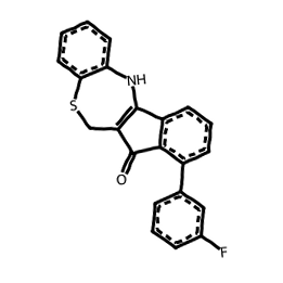 O=C1C2=C(Nc3ccccc3SC2)c2cccc(-c3cccc(F)c3)c21